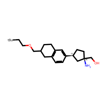 CC(C)(C)CCOCC1CCc2cc([C@H]3CC[C@](N)(CO)C3)ccc2C1